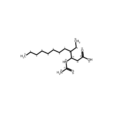 CCCCCCCCC(CC)C(CC(=O)O)NC(N)=O